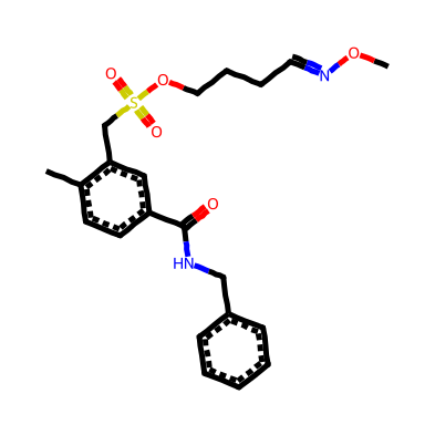 CON=CCCCOS(=O)(=O)Cc1cc(C(=O)NCc2ccccc2)ccc1C